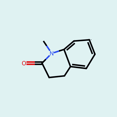 CN1C(=O)CCc2cc[c]cc21